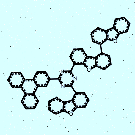 c1ccc2c(c1)oc1c(-c3cccc4oc5c(-c6nc(-c7ccc8c9ccccc9c9ccccc9c8c7)nc(-c7cccc8oc9ccccc9c78)n6)cccc5c34)cccc12